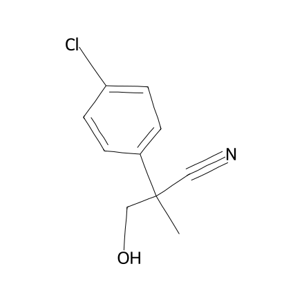 CC(C#N)(CO)c1ccc(Cl)cc1